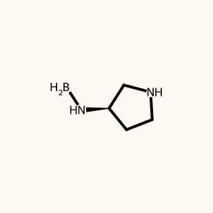 BN[C@@H]1CCNC1